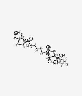 CCC1CCN(C(=O)NCCCCN2C(=O)CC(C(C)(C)C)C2=O)C1